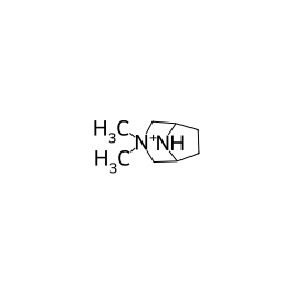 C[N+]1(C)CC2CCC(C1)N2